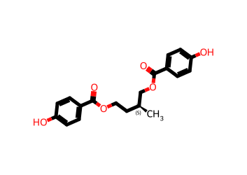 C[C@@H](CCOC(=O)c1ccc(O)cc1)COC(=O)c1ccc(O)cc1